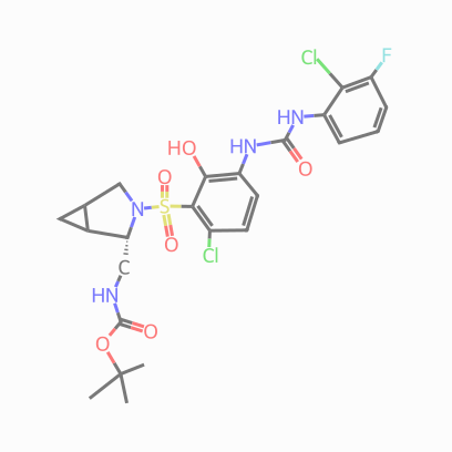 CC(C)(C)OC(=O)NC[C@@H]1C2CC2CN1S(=O)(=O)c1c(Cl)ccc(NC(=O)Nc2cccc(F)c2Cl)c1O